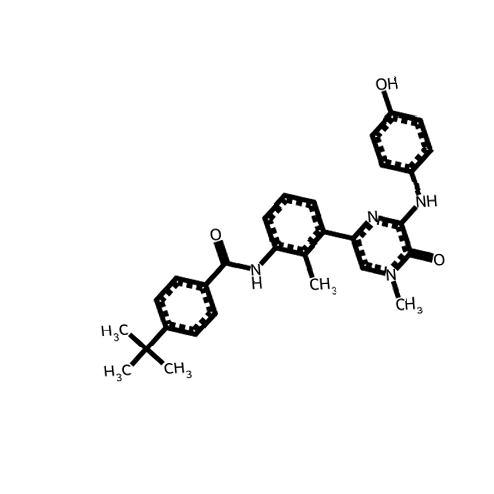 Cc1c(NC(=O)c2ccc(C(C)(C)C)cc2)cccc1-c1cn(C)c(=O)c(Nc2ccc(O)cc2)n1